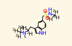 [2H]C([2H])([2H])NS(=O)(=O)Cc1ccc2[nH]cc(CC([2H])([2H])N(C)C([2H])([2H])[2H])c2c1